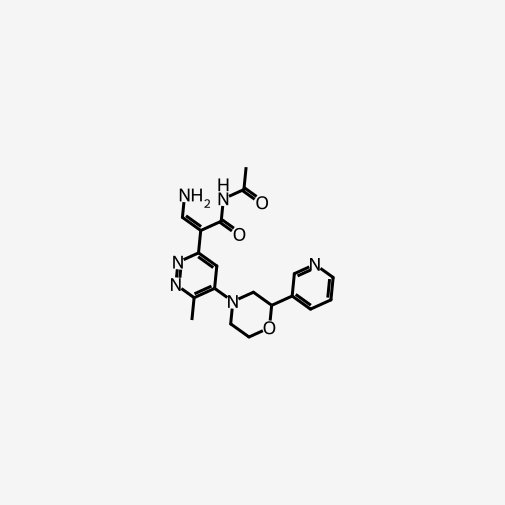 CC(=O)NC(=O)/C(=C\N)c1cc(N2CCOC(c3cccnc3)C2)c(C)nn1